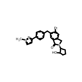 CCc1cc2c(cc1Cc1ccc(-c3ccn(C)n3)cc1)C(=O)N(C1CCCC1O)C2